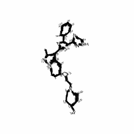 Cc1nn2ccc(OCCN3CCC(F)CC3)cc2c1-c1nc(-c2ccccc2)c(-c2nc[nH]n2)s1